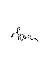 C=CC(=O)OC[SiH2]OCCC